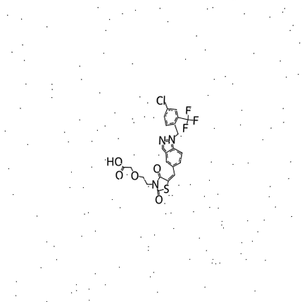 O=C(O)COCCN1C(=O)SC(=Cc2ccc3c(cnn3Cc3ccc(Cl)cc3C(F)(F)F)c2)C1=O